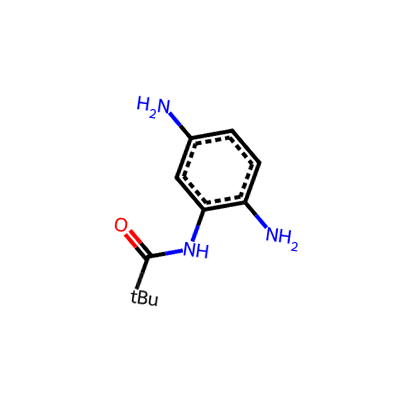 CC(C)(C)C(=O)Nc1cc(N)ccc1N